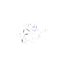 CCOP(=O)(O)Cc1nnc2c(=O)[nH]c3cc(C(F)(F)F)c(-n4ccnc4C(C)C)cc3n12